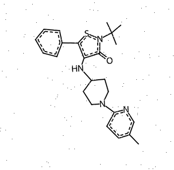 Cc1ccc(N2CCC(Nc3c(-c4ccccc4)sn(C(C)(C)C)c3=O)CC2)nc1